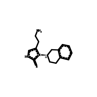 NCCc1c[nH]c(=S)n1[C@H]1CCc2ccccc2C1